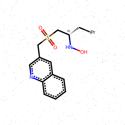 CC(C)C[C@@H](CS(=O)(=O)Cc1cnc2ccccc2c1)NO